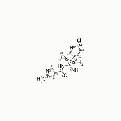 Cn1cc(C(=O)NC(=N)[C@@](C)(c2ccc(Cl)nc2)C2CC2)cn1